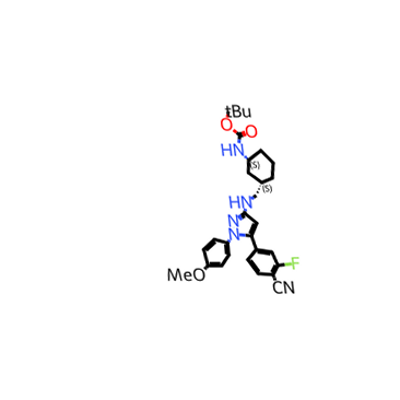 COc1ccc(-n2nc(NC[C@H]3CCC[C@H](NC(=O)OC(C)(C)C)C3)cc2-c2ccc(C#N)c(F)c2)cc1